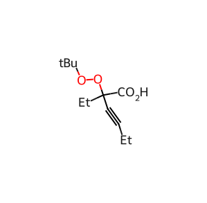 CCC#CC(CC)(OOC(C)(C)C)C(=O)O